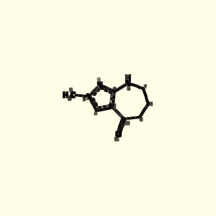 Cn1cc2c(n1)NCCCC2=O